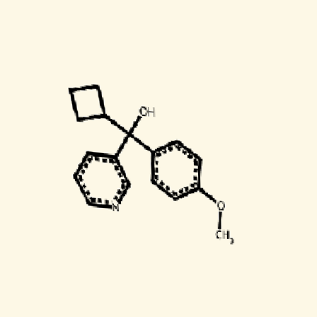 COc1ccc(C(O)(c2cccnc2)C2CCC2)cc1